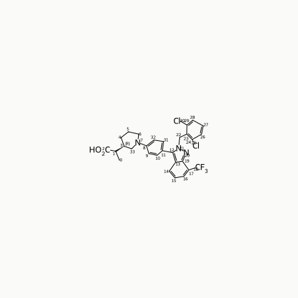 CC(C(=O)O)[C@H]1CCCN(c2ccc(-c3c4cccc(C(F)(F)F)c4nn3Cc3c(Cl)cccc3Cl)cc2)C1